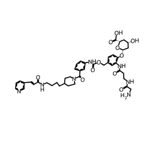 NCC(=O)NCCC(=O)Nc1cc(COC(=O)Nc2cccc(C(=O)N3CCC(CCCCNC(=O)/C=C/c4cccnc4)CC3)c2)ccc1O[C@H]1C[C@@H](O)C[C@@H](C(=O)O)O1